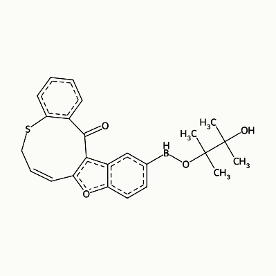 CC(C)(O)C(C)(C)OBc1ccc2oc3c(c2c1)C(=O)c1ccccc1SC/C=C\3